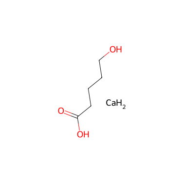 O=C(O)CCCCO.[CaH2]